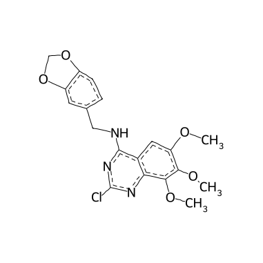 COc1cc2c(NCc3ccc4c(c3)OCO4)nc(Cl)nc2c(OC)c1OC